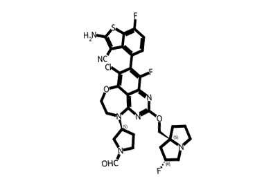 N#Cc1c(N)sc2c(F)ccc(-c3c(Cl)c4c5c(nc(OC[C@@]67CCCN6C[C@H](F)C7)nc5c3F)N([C@H]3CCN(C=O)C3)CCO4)c12